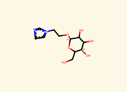 OCC1O[C@@H](OCCn2ccnc2)C(O)C(O)[C@H]1O